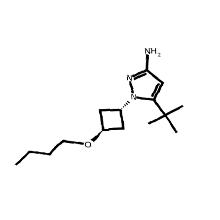 CCCCO[C@H]1C[C@H](n2nc(N)cc2C(C)(C)C)C1